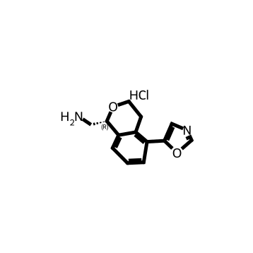 Cl.NC[C@@H]1OCCc2c(-c3cnco3)cccc21